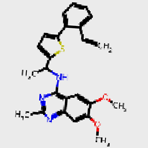 C=Cc1ccccc1-c1ccc(C(C)Nc2nc(C)nc3cc(OC)c(OC)cc23)s1